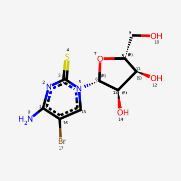 Nc1nc(=S)n([C@@H]2O[C@H](CO)[C@@H](O)[C@H]2O)cc1Br